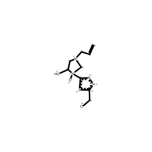 C=CCN1CC(O)[N+]([O-])(c2nnc(CCl)s2)C1